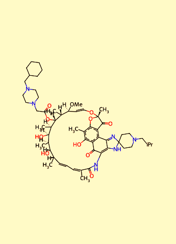 CO[C@H]1/C=C/O[C@@]2(C)Oc3c(C)c(O)c4c(c3C2=O)C2=NC3(CCN(CC(C)C)CC3)NC2=C(NC(=O)/C(C)=C\C=C\[C@H](C)[C@H](O)[C@@H](C)[C@@H](O)[C@@H](C)[C@H](OC(=O)CN2CCN(CC3CCCCC3)CC2)[C@@H]1C)C4=O